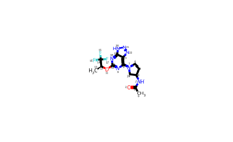 CC(=O)NC1CCN(c2nc(O[C@@H](C)C(F)(F)F)nc3[nH]nnc23)C1